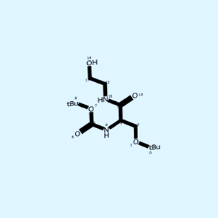 CC(C)(C)OCC(NC(=O)OC(C)(C)C)C(=O)NCCO